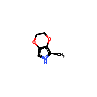 Cc1[nH]cc2c1OCCO2